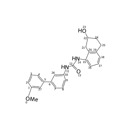 COc1cccc(-c2cccc(NC(=O)Nc3cccc4c3CC(O)CC4)c2)c1